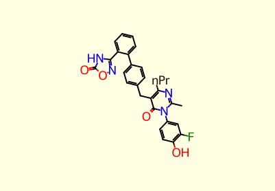 CCCc1nc(C)n(-c2ccc(O)c(F)c2)c(=O)c1Cc1ccc(-c2ccccc2-c2noc(=O)[nH]2)cc1